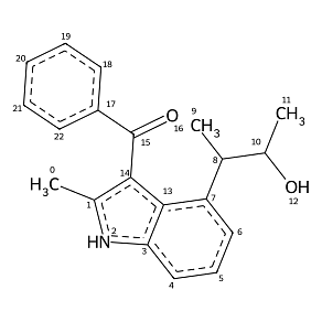 Cc1[nH]c2cccc(C(C)C(C)O)c2c1C(=O)c1ccccc1